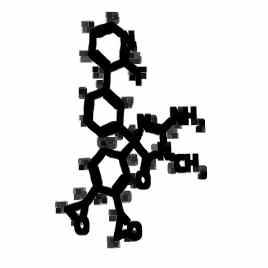 CN1C(=O)[C@@](c2cccc(-c3cccnc3F)c2)(C2C=C(C3CO3)C(C3CO3)=CC2)N=C1N